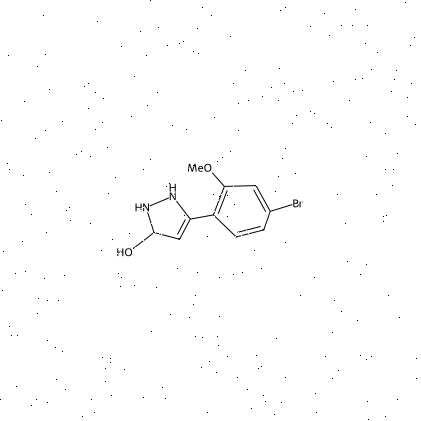 COc1cc(Br)ccc1C1=CC(O)NN1